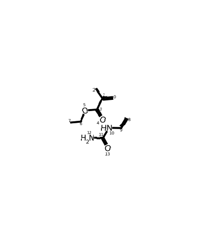 C=C(C)C(=O)OCC.C=CNC(N)=O